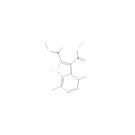 COC(=O)c1[nH]c2c(C)ccc(Cl)c2c1C(=O)OC